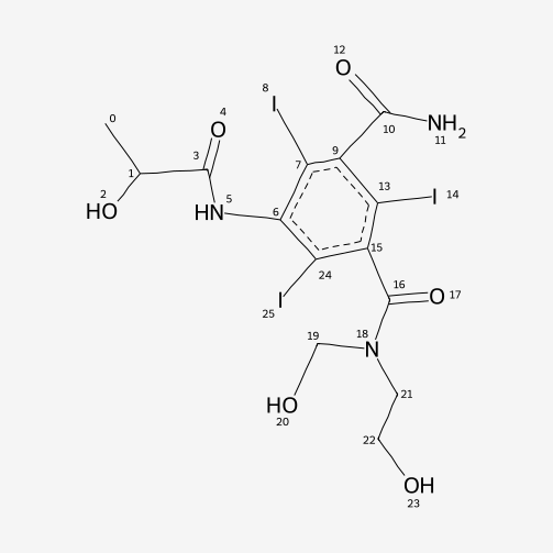 CC(O)C(=O)Nc1c(I)c(C(N)=O)c(I)c(C(=O)N(CO)CCO)c1I